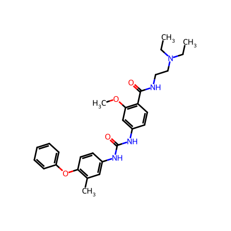 CCN(CC)CCNC(=O)c1ccc(NC(=O)Nc2ccc(Oc3ccccc3)c(C)c2)cc1OC